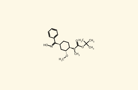 CO[C@@H]1C[C@@H](/C(=N/O)c2ccccc2)CC[C@H]1N(C)C(=O)OC(C)(C)C